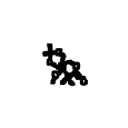 CON1C2(COC(=O)C1(C)C)COC(C)(C)OC2